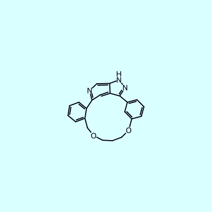 c1cc2cc(c1)-c1n[nH]c3cnc(cc13)-c1ccccc1COCCCO2